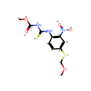 COCSc1ccc(NC(=S)NC(=O)OC)c([N+](=O)[O-])c1